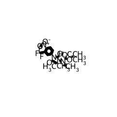 CCN(C(=O)OC(C)(C)C)N1C(=O)N(c2ccc([N+](=O)[O-])c(C(F)(F)F)c2)C(=O)C1(C)C